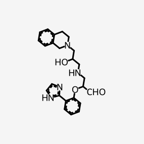 O=CC(CNCC(O)CN1CCc2ccccc2C1)Oc1ccccc1-c1ncc[nH]1